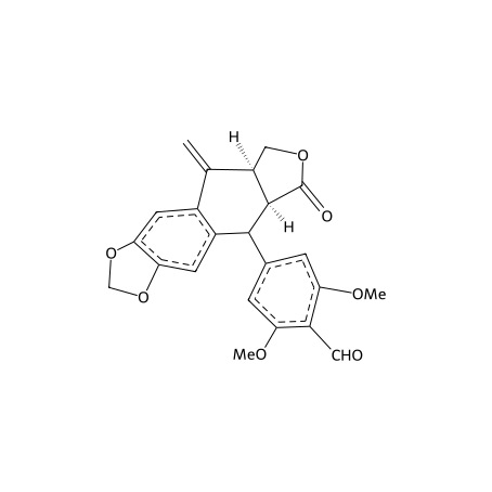 C=C1c2cc3c(cc2C(c2cc(OC)c(C=O)c(OC)c2)[C@@H]2C(=O)OC[C@H]12)OCO3